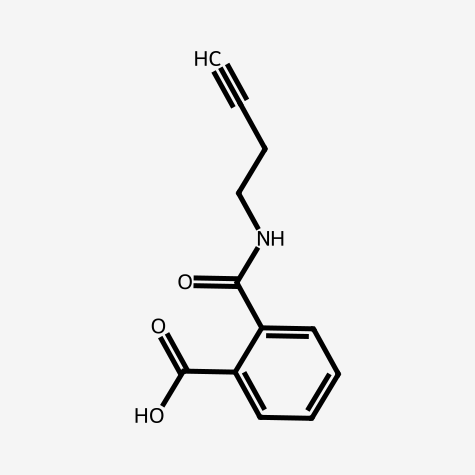 C#CCCNC(=O)c1ccccc1C(=O)O